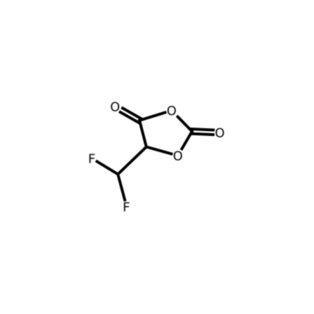 O=C1OC(=O)C(C(F)F)O1